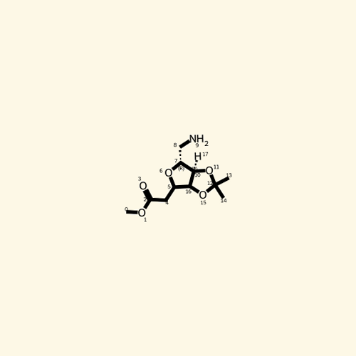 COC(=O)CC1O[C@H](CN)[C@H]2OC(C)(C)OC12